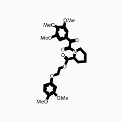 COc1ccc(OCCOC(=O)C2CCCCN2C(=O)C(=O)c2cc(OC)c(OC)c(OC)c2)cc1OC